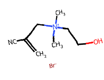 C=C(C#N)C[N+](C)(C)CCO.[Br-]